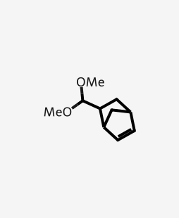 COC(OC)C1CC2C=CC1C2